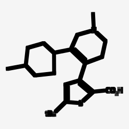 CC1CCC(C2=C(c3cc(C(C)(C)C)sc3C(=O)O)CCN(C)C2)CC1